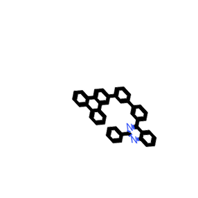 c1ccc(-c2nc(-c3cccc(-c4cccc(-c5ccc6c7ccccc7c7ccccc7c6c5)c4)c3)c3ccccc3n2)cc1